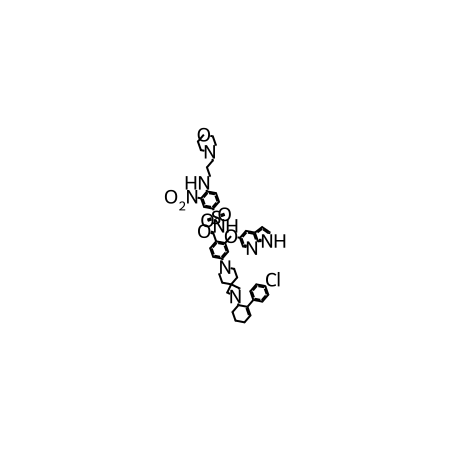 O=C(NS(=O)(=O)c1ccc(NCCCN2CCOCC2)c([N+](=O)[O-])c1)c1ccc(N2CCC3(CC2)CN(C2CCCC=C2c2ccc(Cl)cc2)C3)cc1Oc1cnc2[nH]ccc2c1